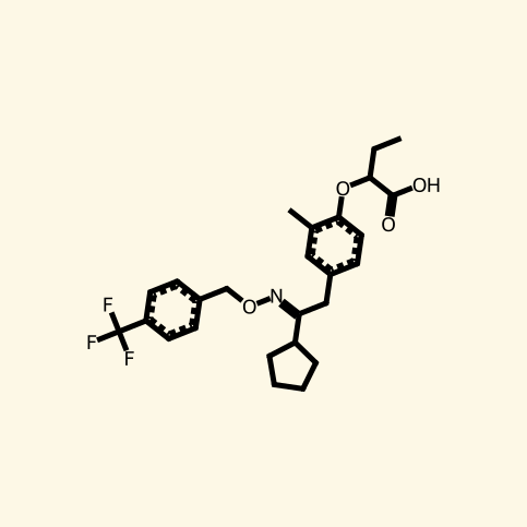 CCC(Oc1ccc(CC(=NOCc2ccc(C(F)(F)F)cc2)C2CCCC2)cc1C)C(=O)O